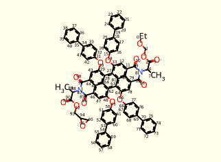 CCOCOC(=O)C(C)N1C(=O)c2cc(Oc3ccc(-c4ccccc4)cc3)c3c4c(Oc5ccc(-c6ccccc6)cc5)cc5c6c(cc(Oc7ccc(-c8ccccc8)cc7)c(c7c(Oc8ccc(-c9ccccc9)cc8)cc(c2c37)C1=O)c64)C(=O)N(C(C)C(=O)OCC1CO1)C5=O